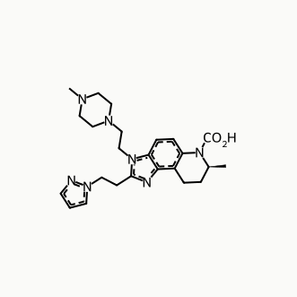 C[C@H]1CCc2c(ccc3c2nc(CCn2cccn2)n3CCN2CCN(C)CC2)N1C(=O)O